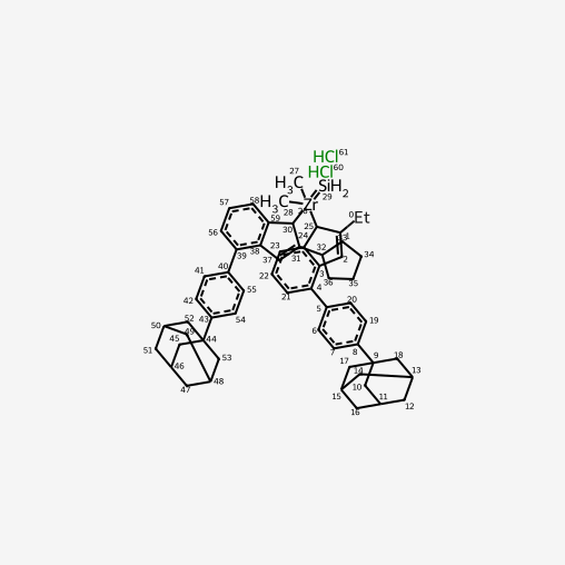 CCC1=Cc2c(-c3ccc(C45CC6CC(CC(C6)C4)C5)cc3)cccc2[CH]1[Zr]([CH3])([CH3])(=[SiH2])[CH]1C(C2CCCC2)=Cc2c(-c3ccc(C45CC6CC(CC(C6)C4)C5)cc3)cccc21.Cl.Cl